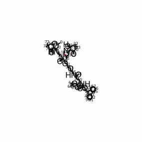 CC(C)CC(NCCN(CCNC(CC(C)C)=C1C(=O)CC(C)(C)CC1=O)C(=O)COCCOCCNC(=O)CCC(NC(=O)OCC1c2ccccc2-c2ccccc21)C(=O)OC(C)(C)C)=C1C(=O)CC(C)(C)CC1=O